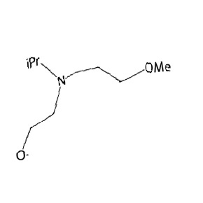 COCCN(CC[O])C(C)C